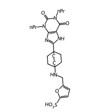 CCCn1c(=O)c2[nH]c(C34CCC(NCc5ccc(S(=O)(=O)O)o5)(CC3)CC4)nc2n(CCC)c1=O